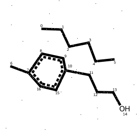 CCCCCC.Cc1ccc(CCCO)cc1